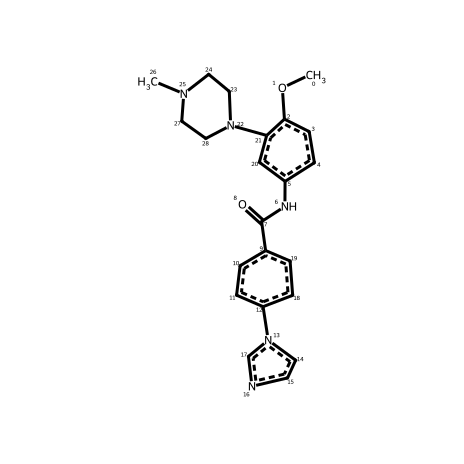 COc1ccc(NC(=O)c2ccc(-n3ccnc3)cc2)cc1N1CCN(C)CC1